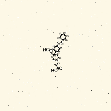 Cl.O=C(O)CCN1CCC2(CC1)COc1cc(SCc3ccccc3)ccc12